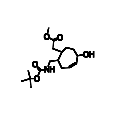 COC(=O)CC1CC[C@@H](O)/C=C\CC1CNC(=O)OC(C)(C)C